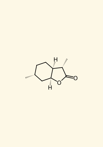 C[C@@H]1CC[C@@H]2[C@H](C1)OC(=O)[C@H]2C